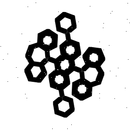 C1=CC2C=Cc3ccccc3N(c3c4ccc(N5CCCCC5)cc4c(N4c5ccccc5C=Cc5ccccc54)c4ccc(N5CCCCC5)cc34)C2C=C1